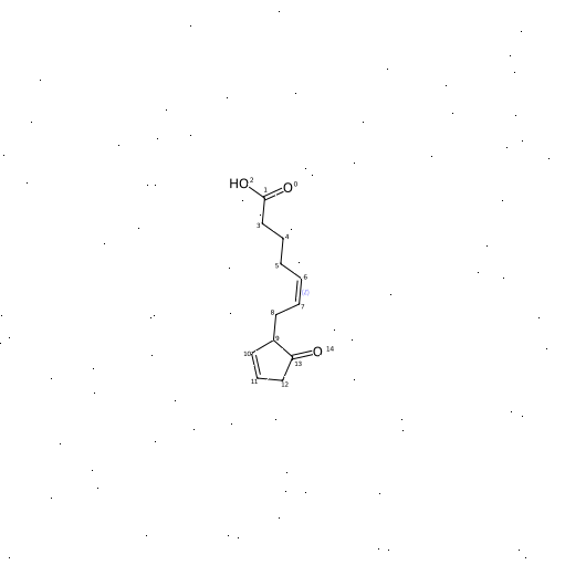 O=C(O)CCC/C=C\CC1C=CCC1=O